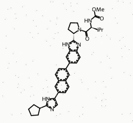 COC(=O)N[C@H](C(=O)N1CCC[C@H]1c1nc2ccc(-c3ccc4cc(-c5cnc(C6CCCC6)[nH]5)ccc4c3)cc2[nH]1)C(C)C